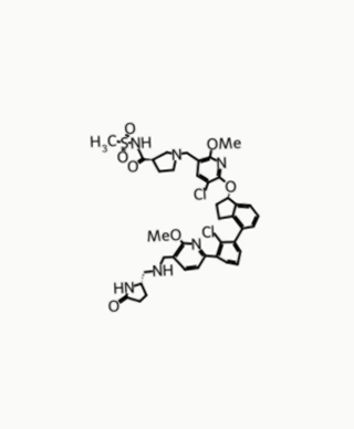 COc1nc(-c2cccc(-c3cccc4c3CC[C@@H]4Oc3nc(OC)c(CN4CC[C@@H](C(=O)NS(C)(=O)=O)C4)cc3Cl)c2Cl)ccc1CNC[C@@H]1CCC(=O)N1